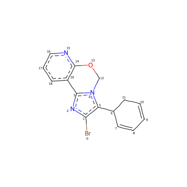 Brc1nc2n(c1C1C=CC=CC1)COc1ncccc1-2